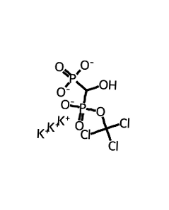 O=P([O-])([O-])C(O)P(=O)([O-])OC(Cl)(Cl)Cl.[K+].[K+].[K+]